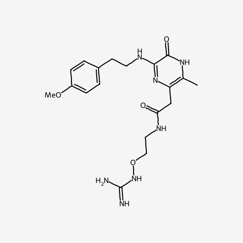 COc1ccc(CCNc2nc(CC(=O)NCCONC(=N)N)c(C)[nH]c2=O)cc1